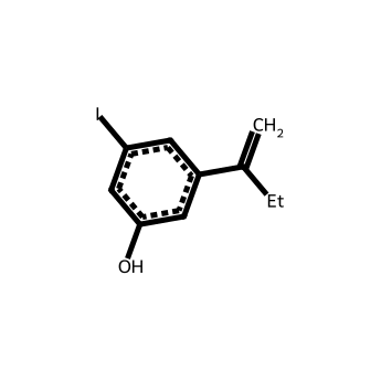 [CH2]CC(=C)c1cc(O)cc(I)c1